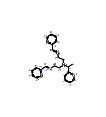 CC(c1ccccn1)N(CC/N=C/c1ccccn1)CC/N=C/c1ccccn1